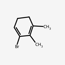 CC1=C(C)C(Br)=CCC1